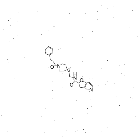 O=C(NCC1CC12CCN(C(=O)CCc1ccccc1)CC2)C1Cc2cnccc2O1